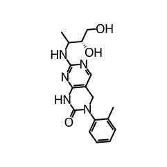 Cc1ccccc1N1Cc2cnc(NC(C)[C@@H](O)CO)nc2NC1=O